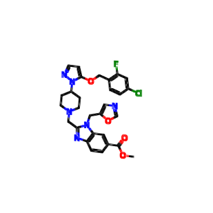 COC(=O)c1ccc2nc(CN3CCC(n4nccc4OCc4ccc(Cl)cc4F)CC3)n(Cc3cnco3)c2c1